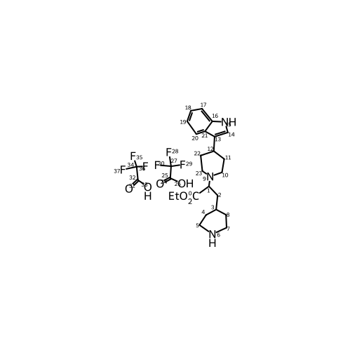 CCOC(=O)C(CC1CCNCC1)N1CCC(c2c[nH]c3ccccc23)CC1.O=C(O)C(F)(F)F.O=C(O)C(F)(F)F